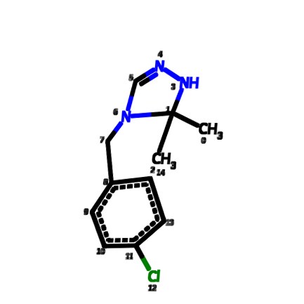 CC1(C)NN=CN1Cc1ccc(Cl)cc1